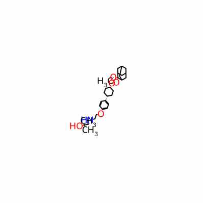 COC1(OO[C@H]2CC[C@@H](c3ccc(OCCNCC(C)(C)O)cc3)CC2)C2CC3CC(C2)CC1C3